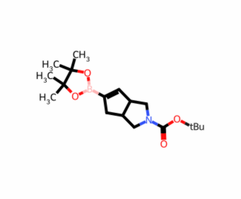 CC(C)(C)OC(=O)N1CC2C=C(B3OC(C)(C)C(C)(C)O3)CC2C1